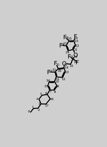 CCCC1CCC(c2ccc(-c3ccc(OCC(F)(F)Oc4cc(F)c(F)c(F)c4)c(F)c3F)cc2)CC1